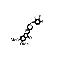 COc1cc2c(cc1OC)C(=O)C(CC1(F)CCN(Cc3ccc(F)c(F)c3F)CC1)C2